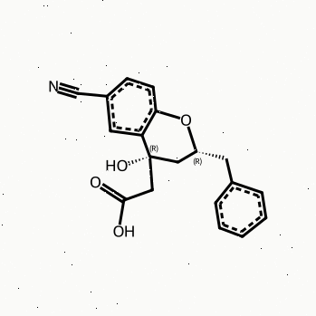 N#Cc1ccc2c(c1)[C@](O)(CC(=O)O)C[C@@H](Cc1ccccc1)O2